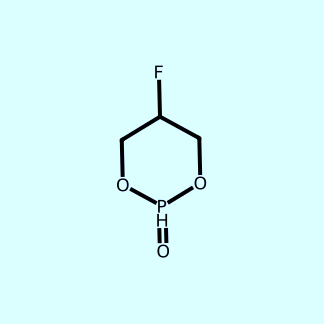 O=[PH]1OCC(F)CO1